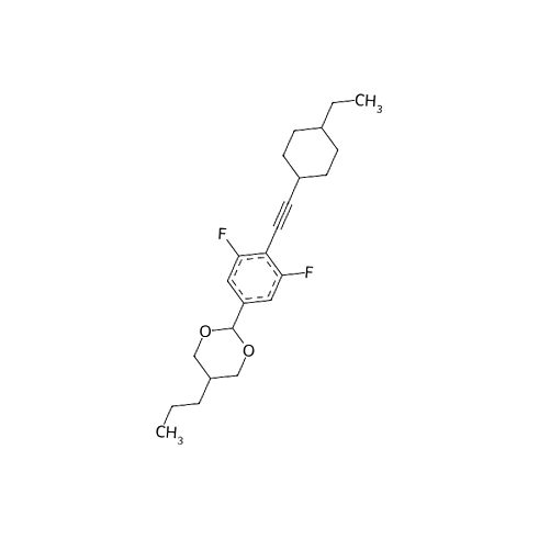 CCCC1COC(c2cc(F)c(C#CC3CCC(CC)CC3)c(F)c2)OC1